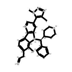 Cc1nnn(C)c1-c1cnc2c3ccc(CC=O)c(F)c3n([C@H](c3ccccc3)C3CCOCC3)c2c1